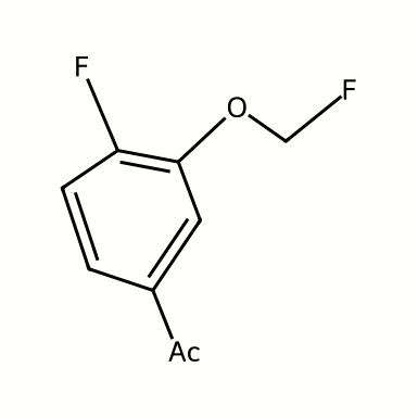 CC(=O)c1ccc(F)c(OCF)c1